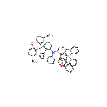 CC(C)(C)c1ccc2c(c1)C1(c3cc(C(C)(C)C)ccc3O2)c2ccccc2-c2c(N(c3ccc4c(c3)C(c3ccccc3)(c3ccccc3)c3ccccc3-4)c3ccccc3-c3cccc4c3oc3ccccc34)cccc21